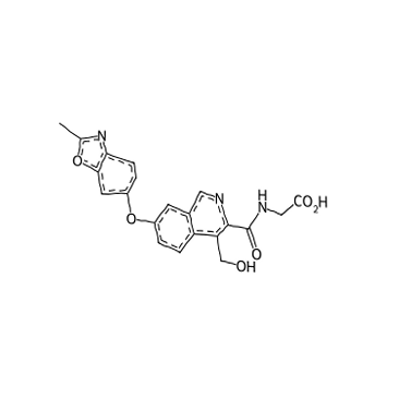 Cc1nc2ccc(Oc3ccc4c(CO)c(C(=O)NCC(=O)O)ncc4c3)cc2o1